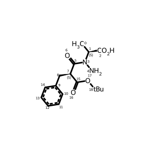 C[C@@H](C(=O)O)N(N)C(=O)[C@H](Cc1ccccc1)C(=O)OC(C)(C)C